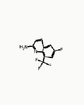 Nc1ccc2cc(F)cc(C(F)(F)F)c2n1